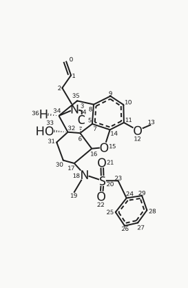 C=CCN1CC[C@]23c4c5ccc(OC)c4OC2C(N(C)S(=O)(=O)Cc2ccccc2)CC[C@@]3(O)[C@H]1C5